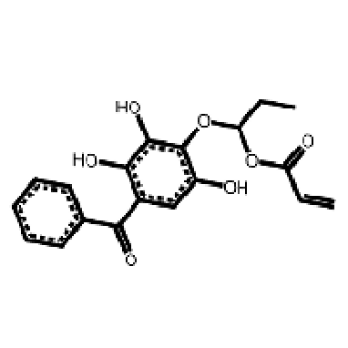 C=CC(=O)OC(CC)Oc1c(O)cc(C(=O)c2ccccc2)c(O)c1O